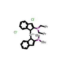 CC(C)CP(CC(C)C)C1=Cc2ccccc2[CH]1[Zr+2][CH]1C(P(C(C)(C)C)C(C)(C)C)=Cc2ccccc21.[Cl-].[Cl-]